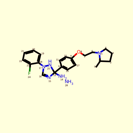 CC1CCCN1CCOc1ccc(C2(N)N=CN(c3ccccc3F)N2)cc1.N